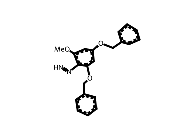 COc1cc(OCc2ccccc2)cc(OCc2ccccc2)c1N=N